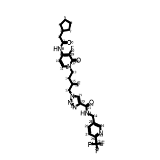 O=C(CC1CCCC1)Nc1ccn(CCC(F)Cn2cc(C(=O)NCc3ccc(C(F)(F)F)nc3)nn2)c(=O)c1F